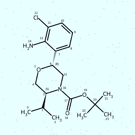 CC(C)[C@H]1CO[C@H](c2cccc(Cl)c2N)CN1C(=O)OC(C)(C)C